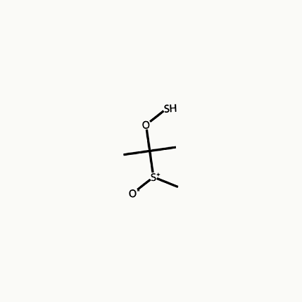 C[S+]([O-])C(C)(C)OS